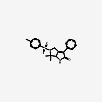 Cc1ccc(S(=O)(=O)N2CC3=C(c4ccccc4)C(=O)NC3C2(C)C)cc1